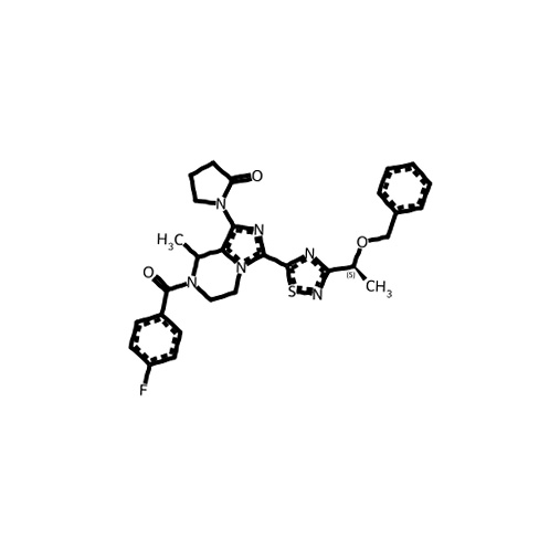 CC1c2c(N3CCCC3=O)nc(-c3nc([C@H](C)OCc4ccccc4)ns3)n2CCN1C(=O)c1ccc(F)cc1